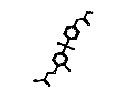 CCC(CC)(c1ccc(CC(=O)OC)cc1)c1ccc(OCC(=O)C(C)(C)C)c(Cl)c1